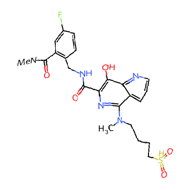 CNC(=O)c1cc(F)ccc1CNC(=O)c1nc(N(C)CCCC[SH](=O)=O)c2cccnc2c1O